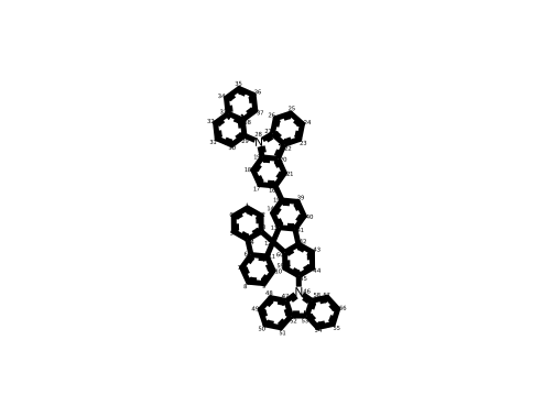 c1ccc2c(c1)-c1ccccc1C21c2cc(-c3ccc4c(c3)c3ccccc3n4-c3cccc4ccccc34)ccc2-c2ccc(-n3c4ccccc4c4ccccc43)cc21